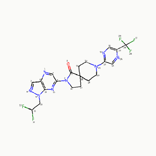 O=C1N(c2cnc3cnn(CC(F)F)c3n2)CCC12CCN(c1cnc(C(F)(F)F)cn1)CC2